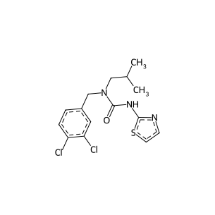 CC(C)CN(Cc1ccc(Cl)c(Cl)c1)C(=O)Nc1nccs1